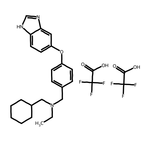 CCN(Cc1ccc(Oc2ccc3[nH]cnc3c2)cc1)CC1CCCCC1.O=C(O)C(F)(F)F.O=C(O)C(F)(F)F